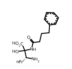 CCC[C@@H](N)C(O)(NC(=O)CCCc1ccccc1)C(=O)O